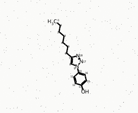 CCCCCCCc1cn(-c2ccc(O)cc2)nn1